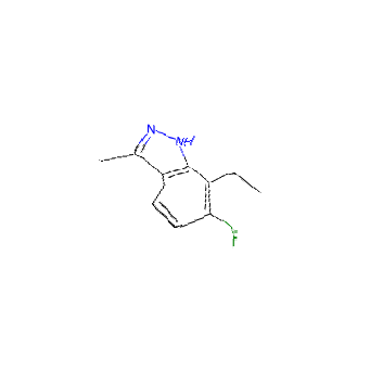 CCc1c(F)ccc2c(C)n[nH]c12